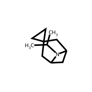 CC(C)N1C2CC1CC1(CC1)C2